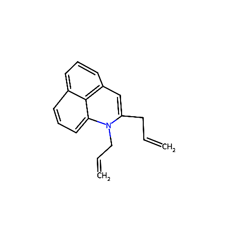 C=CCC1=Cc2cccc3cccc(c23)N1CC=C